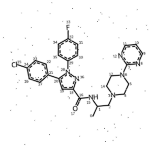 CC(CN1CCN(c2ncccn2)CC1)NC(=O)c1cc(-c2ccc(Cl)cc2)n(-c2ccc(F)cc2)n1